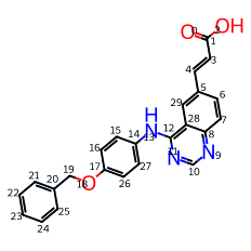 O=C(O)C=Cc1ccc2ncnc(Nc3ccc(OCc4ccccc4)cc3)c2c1